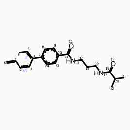 C=C/C=C\C(=C/C)c1ccc(C(=O)NCCCNC(=O)C(C)C)cc1